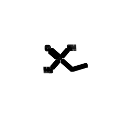 CCP(=O)(S)S